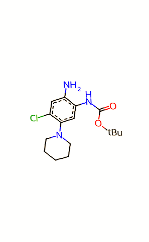 CC(C)(C)OC(=O)Nc1cc(N2CCCCC2)c(Cl)cc1N